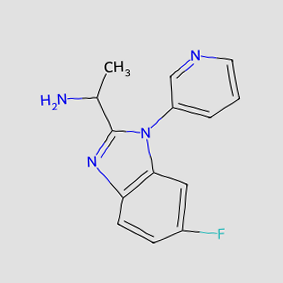 CC(N)c1nc2ccc(F)cc2n1-c1cccnc1